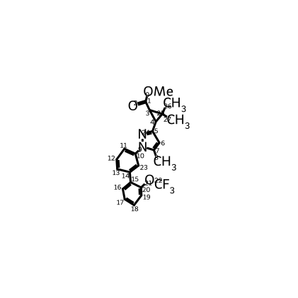 COC(=O)C1C(c2cc(C)n(-c3cccc(-c4ccccc4OC(F)(F)F)c3)n2)C1(C)C